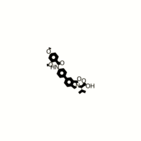 COc1ccc(C(=O)Nc2ccc(-c3ccc4c(c3)C(=O)N([C@H](C(=O)O)C(C)C)C4)cc2)c(OC)c1